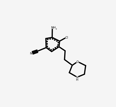 N#Cc1cc(N)c(Cl)c(CCC2CNCCO2)c1